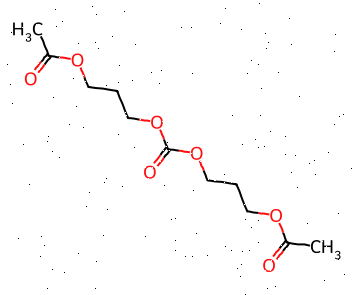 CC(=O)OCCCOC(=O)OCCCOC(C)=O